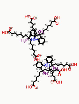 O=C(O)CCCCCC(P)(CCCCCC(=O)O)c1ccccc1Nc1ccccc1C(P)(CCCCCC(=O)O)CCCCCC(=O)O.O=C(O)CCCCCCC(P)(CCCCCCC(=O)O)c1ccccc1Nc1ccccc1C(P)(CCCCCCC(=O)O)CCCCCCC(=O)O